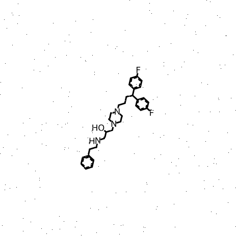 OC(CNCCc1ccccc1)CN1CCN(CCCC(c2ccc(F)cc2)c2ccc(F)cc2)CC1